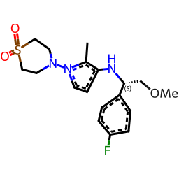 COC[C@@H](Nc1ccn(N2CCS(=O)(=O)CC2)c1C)c1ccc(F)cc1